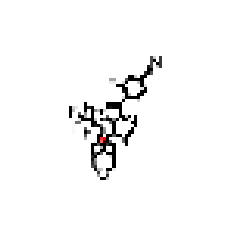 N#Cc1ccc(-c2csc3c(OC4C5COCC4CN(CC(F)(F)C(F)(F)F)C5)ncnc23)c(F)c1